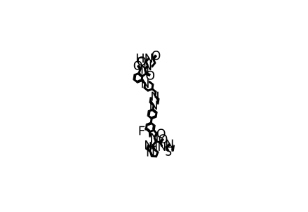 O=C1CCN(N2C(=O)c3cccc(N4CCC(CN5CCN(c6ccc(-c7cc(F)c8c(c7)C(=O)N(C(C(=O)Nc7nccs7)c7ncn9c7CCC9)C8)cc6)CC5)CC4)c3C2=O)C(=O)N1